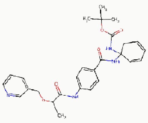 CC(OCc1cccnc1)C(=O)Nc1ccc(C(=O)NC2(NC(=O)OC(C)(C)C)C=CC=CC2)cc1